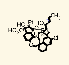 C/C=C/[C@H](O)[C@@H]1CC[C@H]1CN1C[C@@]2(CCCc3cc(Cl)ccc32)COc2ccc([C@@](O)(C(=O)O)[C@@H](CC)C(=O)OC(C)(C)C)cc21